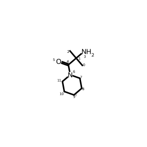 CC(C)(N)C(=O)N1CC[C]CC1